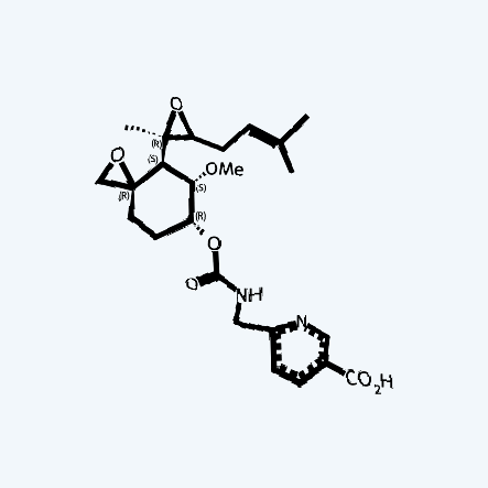 CO[C@@H]1[C@H](OC(=O)NCc2ccc(C(=O)O)cn2)CC[C@]2(CO2)[C@H]1[C@@]1(C)OC1CC=C(C)C